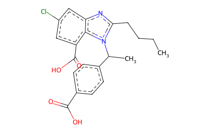 CCCCc1nc2cc(Cl)cc(C(=O)O)c2n1C(C)c1ccc(C(=O)O)cc1